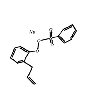 C=CCc1ccccc1OOS(=O)(=O)c1ccccc1.[Na]